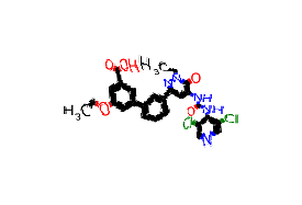 CCOc1cc(C(=O)O)cc(-c2cccc(-c3cc(NC(=O)Nc4c(Cl)cncc4Cl)c(=O)n(CC)n3)c2)c1